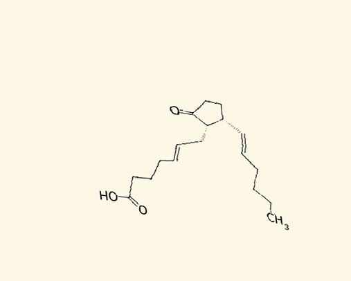 CCCC/C=C/[C@H]1CCC(=O)[C@H]1CC=CCCCC(=O)O